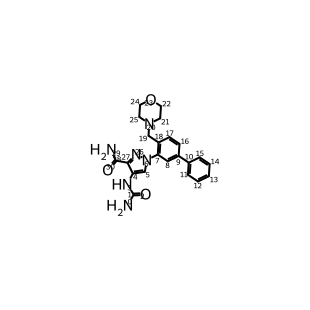 NC(=O)Nc1cn(-c2cc(-c3ccccc3)ccc2CN2CCOCC2)nc1C(N)=O